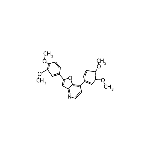 COc1ccc(-c2cc3nccc(C4=CC(OC)C(OC)C=C4)c3o2)cc1OC